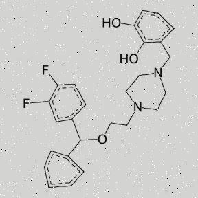 Oc1cccc(CN2CCN(CCOC(c3ccccc3)c3ccc(F)c(F)c3)CC2)c1O